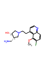 COc1c(F)ccc2nccc(CCN3C[C@H](CN)[C@H](O)C3)c12